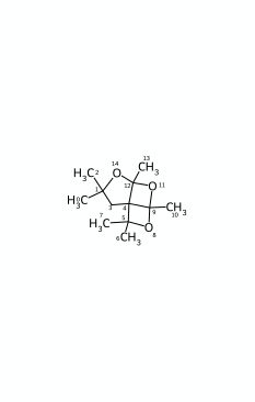 CC1(C)CC23C(C)(C)OC2(C)OC3(C)O1